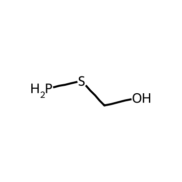 OCSP